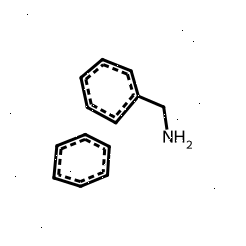 NCc1ccccc1.c1ccccc1